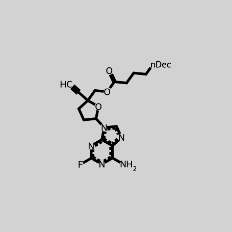 C#CC1(COC(=O)CCCCCCCCCCCCC)CCC(n2cnc3c(N)nc(F)nc32)O1